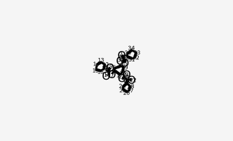 O=S(=O)(Oc1cc(OS(=O)(=O)c2ccccc2)cc(OS(=O)(=O)c2ccccc2)c1)c1ccccc1